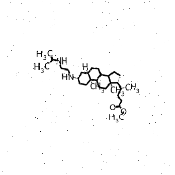 COC(=O)CC[C@@H](C)[C@H]1CCC2C3CC[C@@H]4C[C@H](NCCNC(C)C)CC[C@]4(C)C3CC[C@@]21C